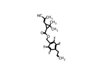 C=CCc1c(F)c(F)c(COC(=O)C2C(C=C(C)C#N)C2(C)C)c(F)c1F